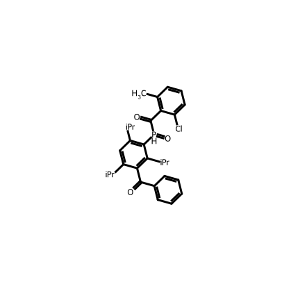 Cc1cccc(Cl)c1C(=O)[PH](=O)c1c(C(C)C)cc(C(C)C)c(C(=O)c2ccccc2)c1C(C)C